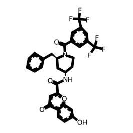 O=C(N[C@H]1CCN(C(=O)c2cc(C(F)(F)F)cc(C(F)(F)F)c2)[C@H](Cc2ccccc2)C1)c1cc(=O)c2ccc(O)cc2o1